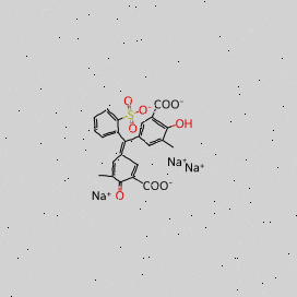 CC1=C/C(=C(/c2cc(C)c(O)c(C(=O)[O-])c2)c2ccccc2S(=O)(=O)[O-])C=C(C(=O)[O-])C1=O.[Na+].[Na+].[Na+]